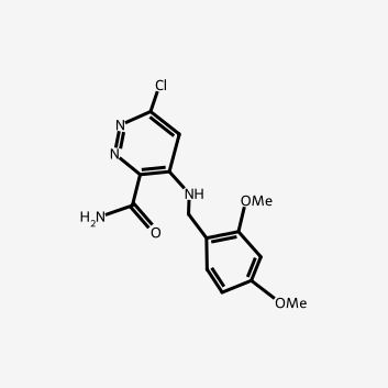 COc1ccc(CNc2cc(Cl)nnc2C(N)=O)c(OC)c1